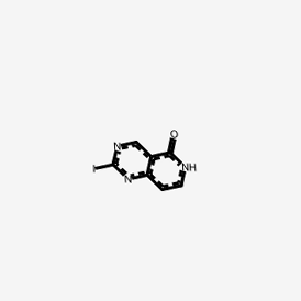 O=c1[nH]ccc2nc(I)ncc12